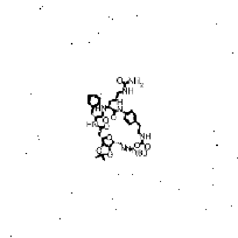 CC(C)(C)OC(=O)NCCc1ccc(NC(=O)C(CCCNC(N)=O)NC(=O)[C@@H](Cc2ccccc2)NC(=O)C[C@@H]2O[C@H](CN=[N+]=[N-])C3OC(C)(C)OC32)cc1